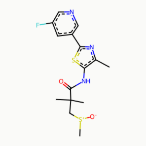 Cc1nc(-c2cncc(F)c2)sc1NC(=O)C(C)(C)C[S+](C)[O-]